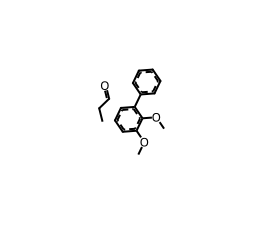 CCC=O.COc1cccc(-c2ccccc2)c1OC